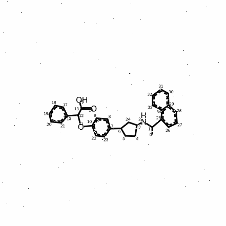 CC(N[C@H]1CCC(c2ccc(OC(C(=O)O)c3ccccc3)cc2)C1)c1cccc2ccccc12